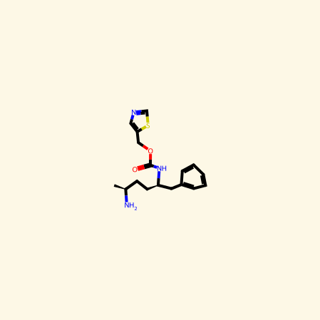 C[C@H](N)CC[C@H](Cc1ccccc1)NC(=O)OCc1cncs1